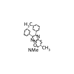 CNC(=O)C(C)Sc1nnc(-c2ccccc2)c(-c2cccc(C)c2)n1